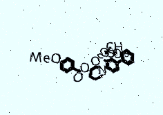 COc1ccc(C(=O)OC2CCCN(c3ccc(-c4ccccc4)c(S(C)(=O)=O)c3F)C2=O)cc1